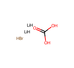 Br.O=C(O)O.[LiH].[LiH]